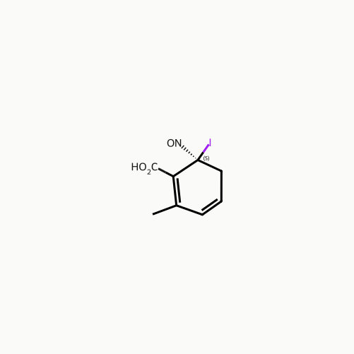 CC1=C(C(=O)O)[C@](I)(N=O)CC=C1